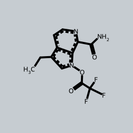 CCc1cn(OC(=O)C(F)(F)F)c2c(C(N)=O)nccc12